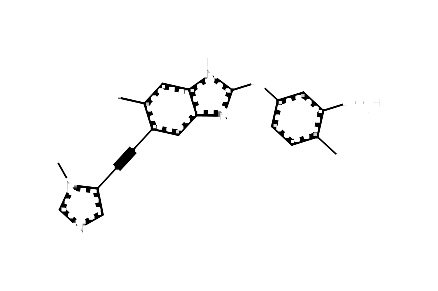 Cc1ccc(Oc2nc3cc(C#Cc4cncn4C)c(Cl)cc3[nH]2)cc1C(=O)O